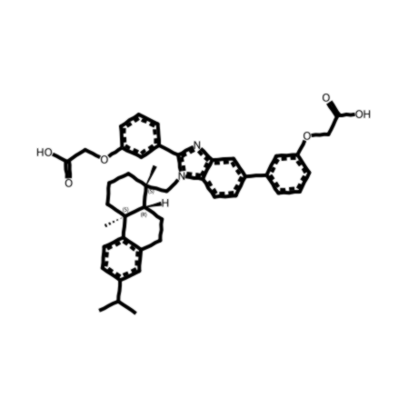 CC(C)c1ccc2c(c1)CC[C@H]1[C@@](C)(Cn3c(-c4cccc(OCC(=O)O)c4)nc4cc(-c5cccc(OCC(=O)O)c5)ccc43)CCC[C@]21C